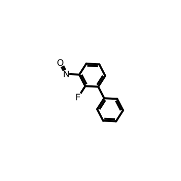 O=Nc1cccc(-c2ccccc2)c1F